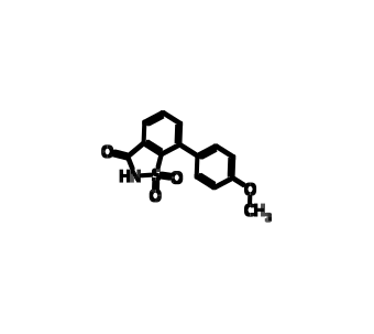 COc1ccc(-c2cccc3c2S(=O)(=O)NC3=O)cc1